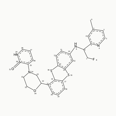 Cc1ccnc(C(CF)Nc2ccc3c(c2)Sc2cccc(C4CN(c5ccc[nH]c5=O)CCO4)c2S3)c1